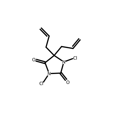 C=CCC1(CC=C)C(=O)N(Cl)C(=O)N1Cl